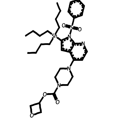 CCC[CH2][Sn]([CH2]CCC)([CH2]CCC)[c]1cc2c(N3CCN(C(=O)OC4COC4)CC3)ccnc2n1S(=O)(=O)c1ccccc1